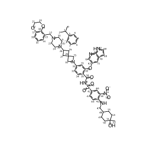 CC(C)c1ccccc1[C@H]1CN(Cc2cccc3c2OCCO3)CCN1C1CC2(C1)CN(c1ccc(C(=O)NS(=O)(=O)c3ccc(NCC4CCC(C)(O)CC4)c([N+](=O)[O-])c3)c(Oc3cnc4[nH]ccc4c3)c1)C2